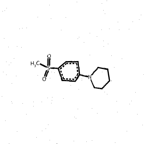 CS(=O)(=O)c1ccc(N2CC[CH]CC2)cc1